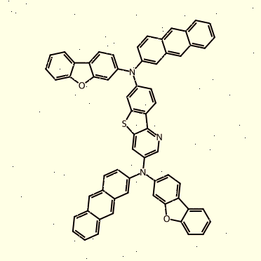 c1ccc2cc3cc(N(c4ccc5c(c4)oc4ccccc45)c4ccc5c(c4)sc4cc(N(c6ccc7cc8ccccc8cc7c6)c6ccc7c(c6)oc6ccccc67)cnc45)ccc3cc2c1